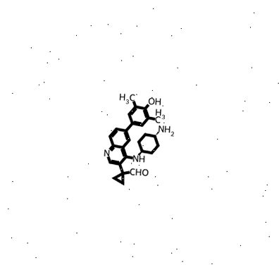 Cc1cc(-c2ccc3ncc(C4(C=O)CC4)c(N[C@H]4CC[C@H](N)CC4)c3c2)cc(C)c1O